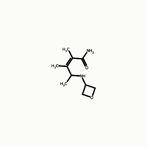 CC(C(N)=O)=C(C)C(C)NC1COC1